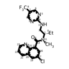 CC[C@@H](CNc1ncc(C(F)(F)F)cn1)N(C)C(=O)c1cc(Cl)cc2cccnc12